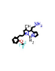 Bn1cccc1/C(CCN)=C1N=C(/C=C/c2ccccc2OC(F)(F)F)C=C\1C